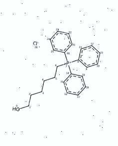 OCCCCCC[P+](c1ccccc1)(c1ccccc1)c1ccccc1.[Cl-]